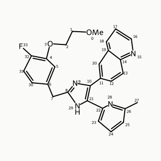 COCCOc1cc(Cc2nc(-c3ccc4ncccc4c3)c(-c3cccc(C)n3)[nH]2)ccc1F